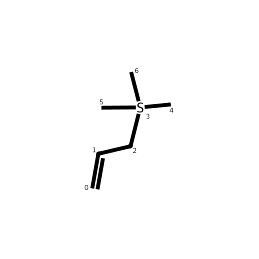 C=CCS(C)(C)C